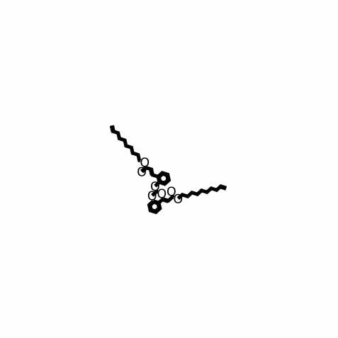 C=CCCCCCCCCOC(=O)C=Cc1ccccc1OC(=O)Oc1ccccc1C=CC(=O)OCCCCCCCCC=C